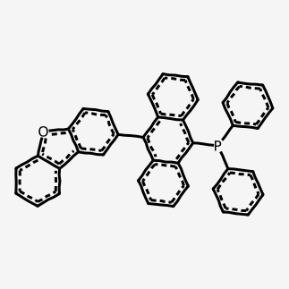 c1ccc(P(c2ccccc2)c2c3ccccc3c(-c3ccc4oc5ccccc5c4c3)c3ccccc23)cc1